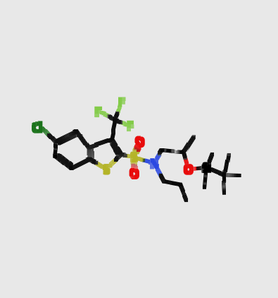 CCCN(CC(C)O[Si](C)(C)C(C)(C)C)S(=O)(=O)c1sc2ccc(Cl)cc2c1C(F)(F)F